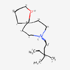 CC(C)(C)CN1CCC2(CCCO2)CC1